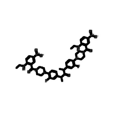 CCNc1ccc([N+](=O)[O-])cc1C(=O)N1CCN(c2ccc(C(C)C(=O)C(C)c3ccc(N4CCN(C(=O)c5cc([N+](=O)[O-])ccc5NCC)CC4)c(F)c3)cc2F)CC1